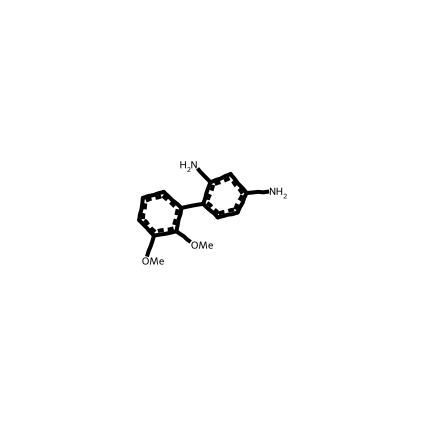 COc1cccc(-c2ccc(N)cc2N)c1OC